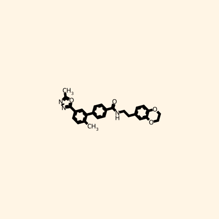 Cc1nnc(-c2ccc(C)c(-c3ccc(C(=O)NCCc4ccc5c(c4)OCCO5)cc3)c2)o1